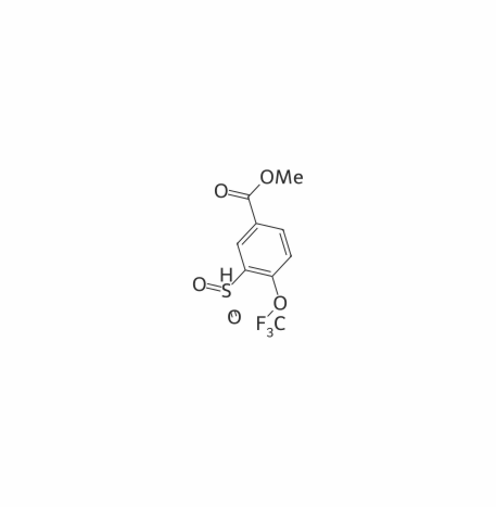 COC(=O)c1ccc(OC(F)(F)F)c([SH](=O)=O)c1